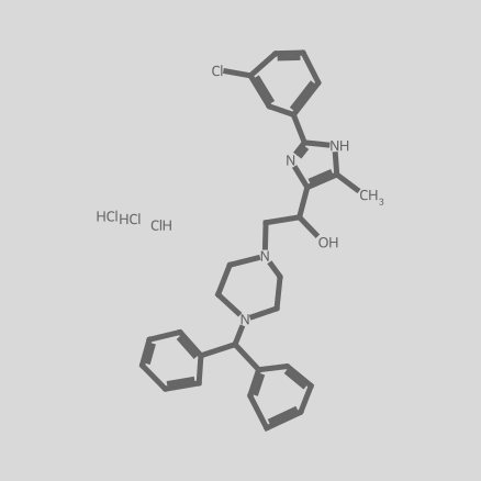 Cc1[nH]c(-c2cccc(Cl)c2)nc1C(O)CN1CCN(C(c2ccccc2)c2ccccc2)CC1.Cl.Cl.Cl